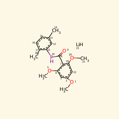 COc1cc(OC)c(C(=O)Pc2cc(C)ccc2C)c(OC)c1.[LiH]